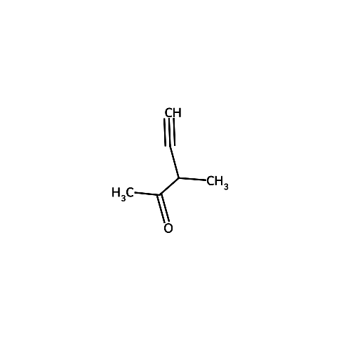 C#CC(C)C(C)=O